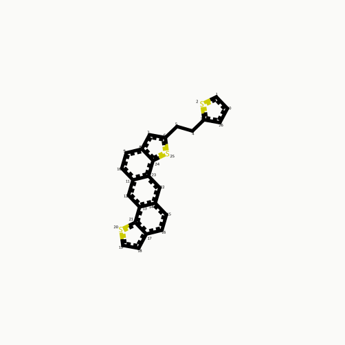 c1csc(CCc2cc3ccc4cc5c(ccc6ccsc65)cc4c3s2)c1